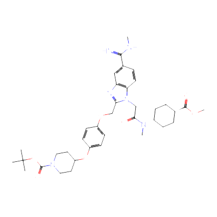 CNC(=N)c1ccc2c(c1)nc(COc1ccc(OC3CCN(C(=O)OC(C)(C)C)CC3)cc1)n2CC(=O)N(C)[C@H]1CC[C@H](C(=O)OC)CC1